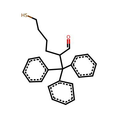 O=CC(CCCCS)C(c1ccccc1)(c1ccccc1)c1ccccc1